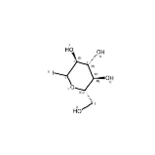 OC[C@@H]1OC(I)[C@@H](O)[C@H](O)[C@H]1O